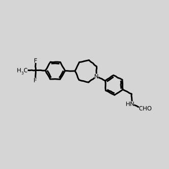 CC(F)(F)c1ccc(C2CCCN(c3ccc(CNC=O)cc3)CC2)cc1